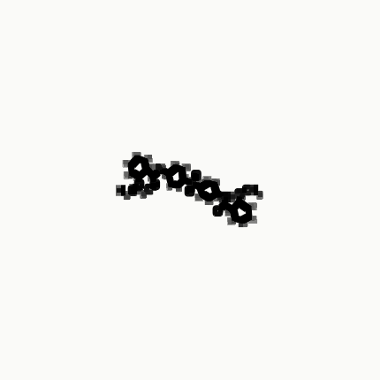 CO/C(=N\c1ccc(S(=O)(=O)c2ccc(NC(=O)c3ccccc3OC)cc2)cc1)c1ccccc1OC